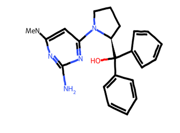 CNc1cc(N2CCC[C@H]2C(O)(c2ccccc2)c2ccccc2)nc(N)n1